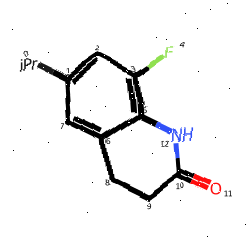 CC(C)c1cc(F)c2c(c1)CCC(=O)N2